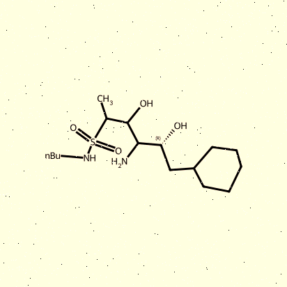 CCCCNS(=O)(=O)C(C)C(O)C(N)[C@H](O)CC1CCCCC1